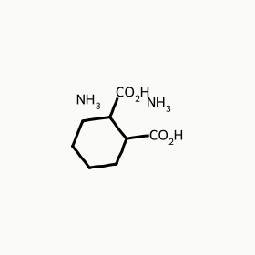 N.N.O=C(O)C1CCCCC1C(=O)O